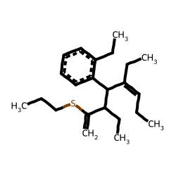 C=C(SCCC)C(CC)C(/C(=C\CC)CC)c1ccccc1CC